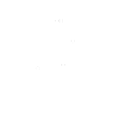 CC#CCOC(=O)C(C(=O)O)C(C)C(C)C